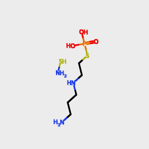 NCCCNCCSP(=O)(O)O.NS